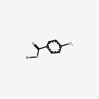 CCC(C)OC(=O)c1ccc(C(F)(F)F)cc1